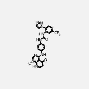 O=C(Nc1ccc(Nc2nc[n+]([O-])c3[nH]ccc(=O)c23)cc1)Nc1cc(C(F)(F)F)ccc1-n1ccnn1